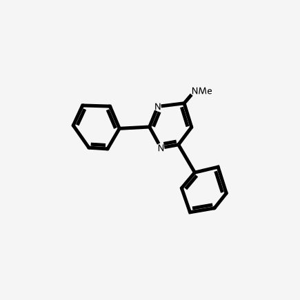 CNc1cc(-c2ccccc2)nc(-c2ccccc2)n1